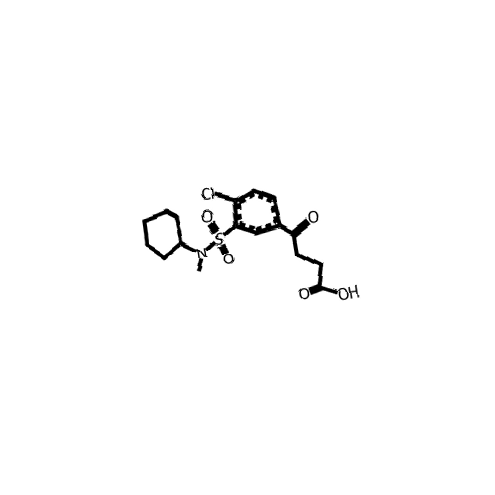 CN(C1CCCCC1)S(=O)(=O)c1cc(C(=O)CCC(=O)O)ccc1Cl